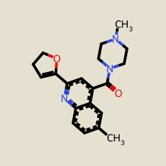 Cc1ccc2nc(C3=CCCO3)cc(C(=O)N3CCN(C)CC3)c2c1